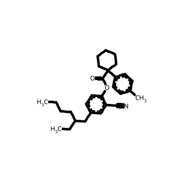 CCCCC(CC)Cc1ccc(OC(=O)C2(c3ccc(C)cc3)CCCCC2)c(C#N)c1